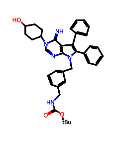 CC(C)(C)OC(=O)NCc1cccc(Cn2c(-c3ccccc3)c(-c3ccccc3)c3c(=N)n(C4CCC(O)CC4)cnc32)c1